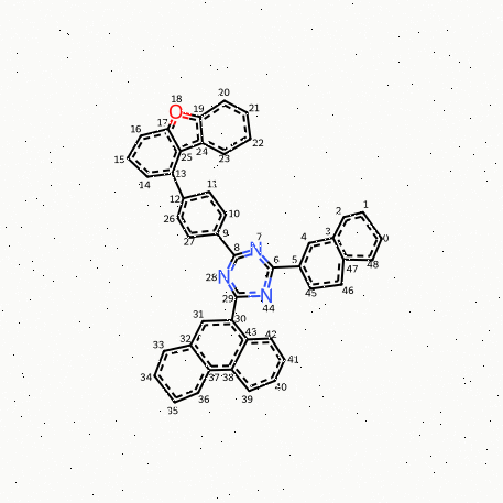 c1ccc2cc(-c3nc(-c4ccc(-c5cccc6oc7ccccc7c56)cc4)nc(-c4cc5ccccc5c5ccccc45)n3)ccc2c1